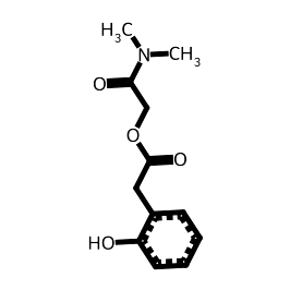 CN(C)C(=O)COC(=O)Cc1ccccc1O